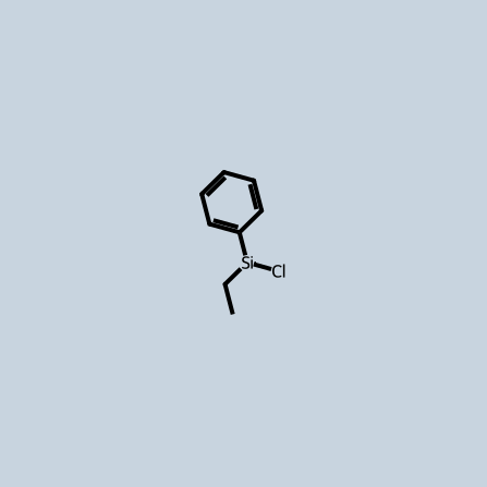 CC[Si](Cl)c1ccccc1